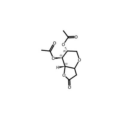 CC(=O)O[C@H]1[C@H](OC(C)=O)COC2CC(=O)O[C@@H]21